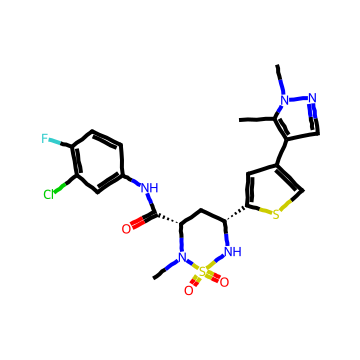 Cc1c(-c2csc([C@H]3C[C@@H](C(=O)Nc4ccc(F)c(Cl)c4)N(C)S(=O)(=O)N3)c2)cnn1C